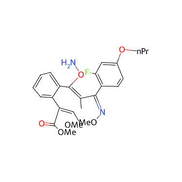 CCCOc1ccc(C(=NOC)C(C)=C(ON)c2ccccc2C(=COC)C(=O)OC)c(F)c1